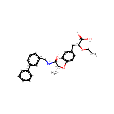 CCO[C@@H](Cc1ccc(O[C@H](C)C(=O)NCc2cccc(-c3ccccc3)c2)cc1)C(=O)O